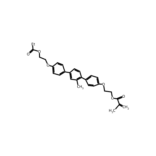 C=C(C)C(=O)OCCOc1ccc(-c2ccc(-c3ccc(OCCOC(=O)CC)cc3)cc2C)cc1